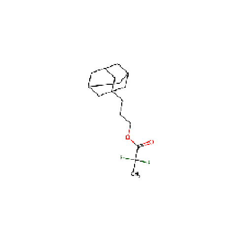 CC(F)(F)C(=O)OCCCC12CC3CC(CC(C3)C1)C2